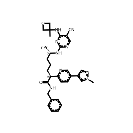 CCC[C@@H](CCC[C@H](C(=O)NCc1ccccc1)c1ccc(-c2cnn(C)c2)cn1)Nc1ncc(C#N)c(NC2(C)COC2)n1